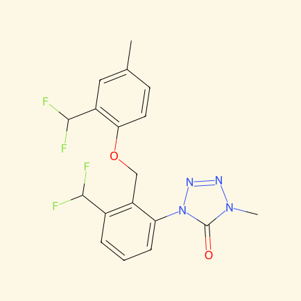 Cc1ccc(OCc2c(C(F)F)cccc2-n2nnn(C)c2=O)c(C(F)F)c1